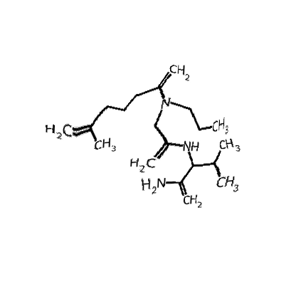 C=C(C)CCCC(=C)N(CCC)CC(=C)NC(C(=C)N)C(C)C